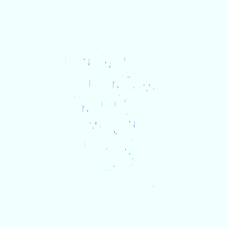 CC[C@H](C)[C@@H]([C@@H](CC(=O)N1CCC[C@H]1[C@H](OC)[C@@H](C)C(=O)N[C@@H](Cc1ccccc1)C(=O)O)OC)N(C)C(=O)C(NC(=O)[C@H](C(C)C)N(C)Cc1cccc(N)c1)C(C)C